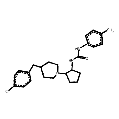 Cc1ccc(NC(=O)NC2CCCC2N2CCC(Cc3ccc(Cl)cc3)CC2)cc1